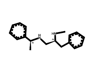 CN[C@H](CN[C@@H](C)c1ccccc1)Cc1ccccc1